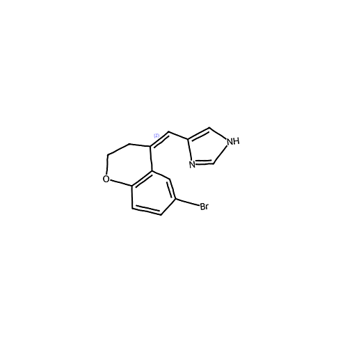 Brc1ccc2c(c1)/C(=C\c1c[nH]cn1)CCO2